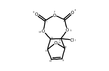 O=C1OC(=O)OC2(Cl)C3C=CC(O3)C2O1